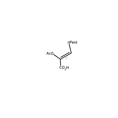 CCCCC/C=C(\OC(C)=O)C(=O)O